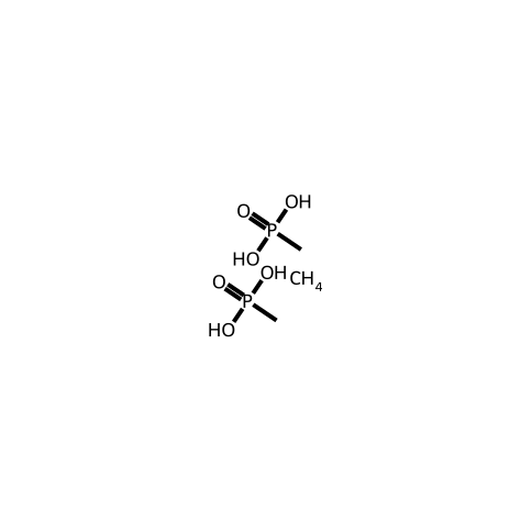 C.CP(=O)(O)O.CP(=O)(O)O